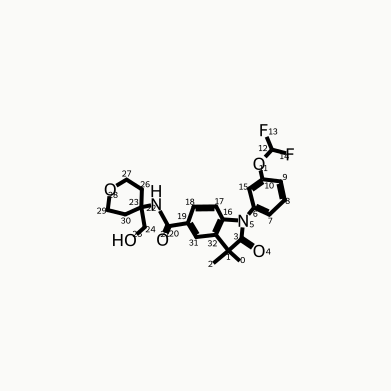 CC1(C)C(=O)N(c2cccc(OC(F)F)c2)c2ccc(C(=O)NC3(CO)CCOCC3)cc21